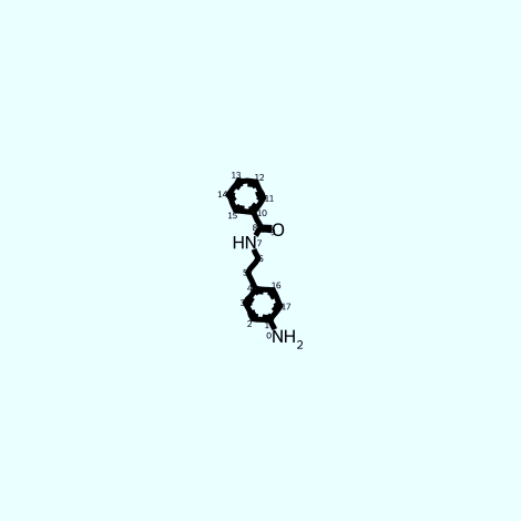 Nc1ccc(CCNC(=O)c2ccccc2)cc1